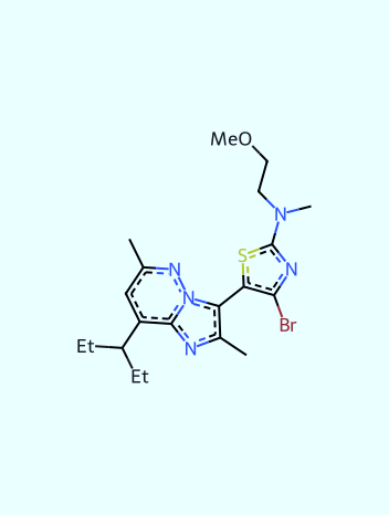 CCC(CC)c1cc(C)nn2c(-c3sc(N(C)CCOC)nc3Br)c(C)nc12